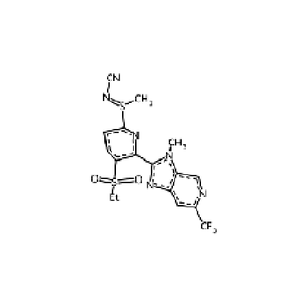 CCS(=O)(=O)c1ccc(/S(C)=N/C#N)nc1-c1nc2cc(C(F)(F)F)ncc2n1C